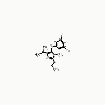 CC(C)c1nc(CCN)n(C)c1Sc1cc(F)cc(F)c1